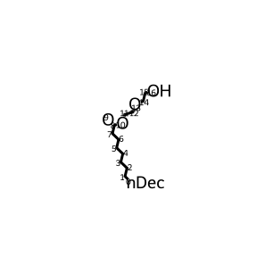 CCCCCCCCCCCCCCCCCC(=O)OCCOCCO